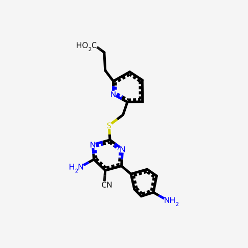 N#Cc1c(N)nc(SCc2cccc(CCC(=O)O)n2)nc1-c1ccc(N)cc1